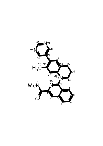 CNC(=O)c1cc2ccccc2c(N2CCCc3cc(-c4cncnc4)c(C)cc32)n1